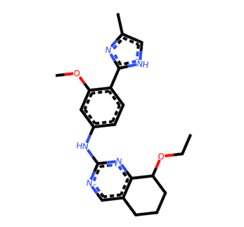 CCOC1CCCc2cnc(Nc3ccc(-c4nc(C)c[nH]4)c(OC)c3)nc21